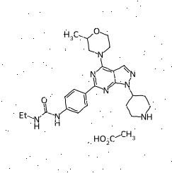 CC(=O)O.CCNC(=O)Nc1ccc(-c2nc(N3CCOC(C)C3)c3cnn(C4CCNCC4)c3n2)cc1